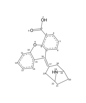 O=C(O)c1cccc2c1Oc1ccccc1C2=C1CC2CCC(C1)N2